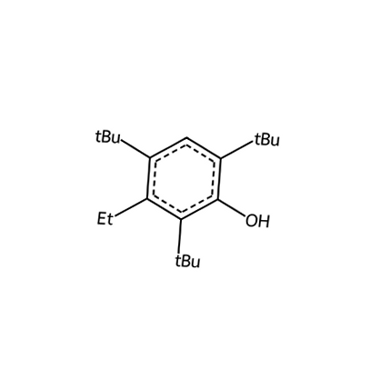 CCc1c(C(C)(C)C)cc(C(C)(C)C)c(O)c1C(C)(C)C